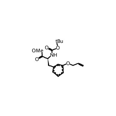 C=CCOc1cccc(C[C@H](NC(=O)OC(C)(C)C)C(=O)OC)c1